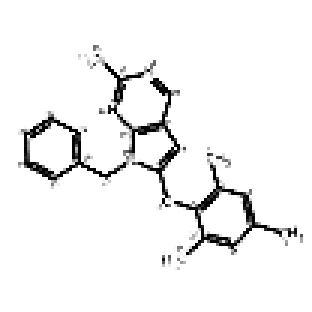 Cc1cc(C)c(Oc2cc3cnc(N)nc3n2Cc2ccccc2)c(C)c1